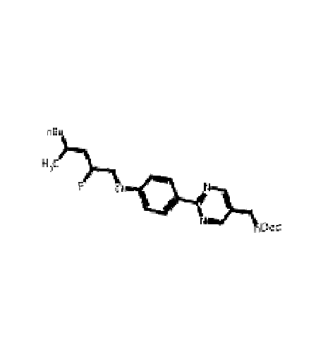 CCCCCCCCCCCc1cnc(-c2ccc(OCC(F)CC(C)CCCC)cc2)nc1